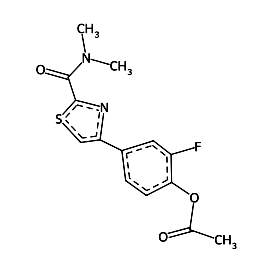 CC(=O)Oc1ccc(-c2csc(C(=O)N(C)C)n2)cc1F